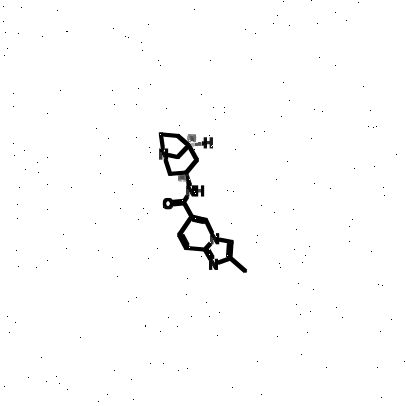 Cc1cn2cc(C(=O)N[C@@H]3C[C@@H]4CCN(C4)C3)ccc2n1